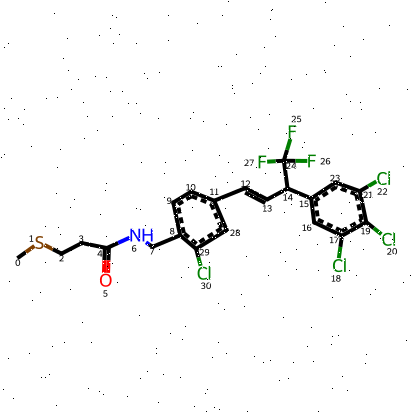 CSCCC(=O)NCc1ccc(C=CC(c2cc(Cl)c(Cl)c(Cl)c2)C(F)(F)F)cc1Cl